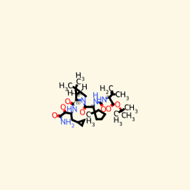 C=C(C)[C@H](NC(=O)N[C@H](C(=O)N1C[C@H]2[C@@H]([C@H]1C(=O)NC(CC1CC1)C(=O)C(N)=O)C2(C)C)C1(C)CCCC1)C(=O)OC(C)(C)C